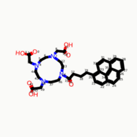 O=C(O)CN1CCN(CC(=O)O)CCN(C(=O)CCCc2ccc3ccc4cccc5ccc2c3c45)CCN(CC(=O)O)CC1